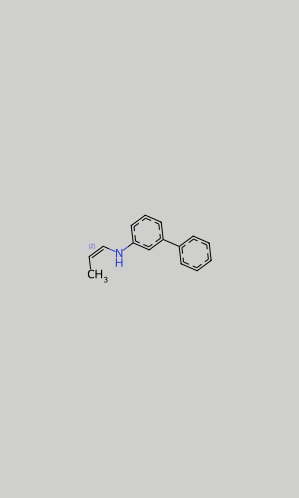 C/C=C\Nc1cccc(-c2ccccc2)c1